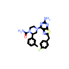 Cc1cccc(C2CN(c3nc(N)nc4sc(Cc5ccc(F)cc5)nc34)CCN2C(N)=O)c1